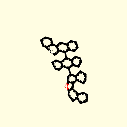 c1ccc2c(-c3c4ccccc4c(-c4cc5oc6ccc7ccccc7c6c5c5ccccc45)c4ccccc34)c3ccc4ccccc4c3cc2c1